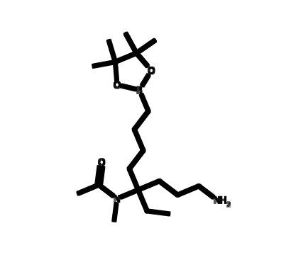 CCC(CCCN)(CCCCB1OC(C)(C)C(C)(C)O1)N(C)C(C)=O